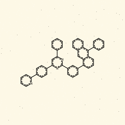 c1ccc(-c2cc(-c3ccc(-c4ccccn4)cc3)nc(-c3cccc(-c4cccc5c(-c6ccccc6)c6ccccc6cc45)c3)n2)cc1